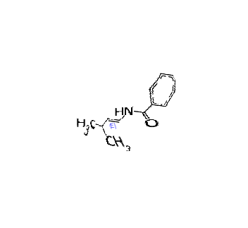 CC(C)/C=C/NC(=O)c1ccccc1